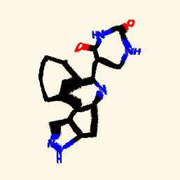 O=c1[nH]cc(-c2nc3ccc4[nH]ncc4c3c3c2CCCC3)c(=O)[nH]1